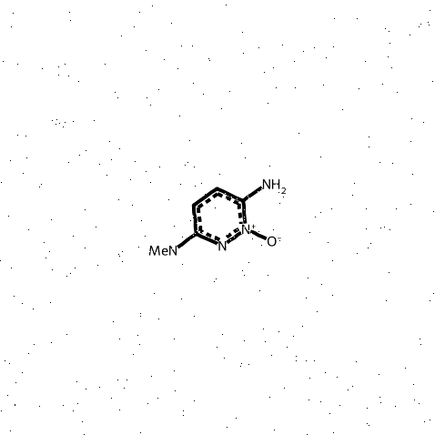 CNc1ccc(N)[n+]([O-])n1